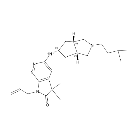 C=CCN1C(=O)C(C)(C)c2cc(N[C@@H]3C[C@@H]4CN(CCC(C)(C)C)C[C@@H]4C3)nnc21